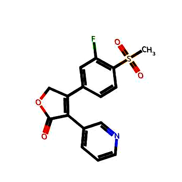 CS(=O)(=O)c1ccc(C2=C(c3cccnc3)C(=O)OC2)cc1F